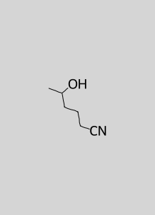 CC(O)CCCC#N